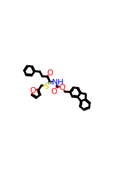 O=C(N[C@@H](SCc1ccco1)C(=O)CCc1ccccc1)OCc1ccc2c(c1)-c1ccccc1C2